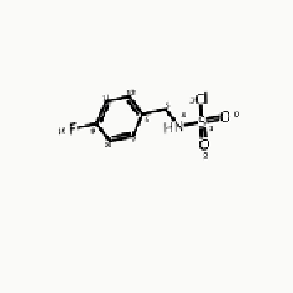 O=S(=O)(Cl)NCc1ccc(F)cc1